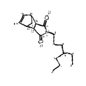 CCCC(CC)CCCN1C(=O)C2C3C=CC(C3)C2C1=O